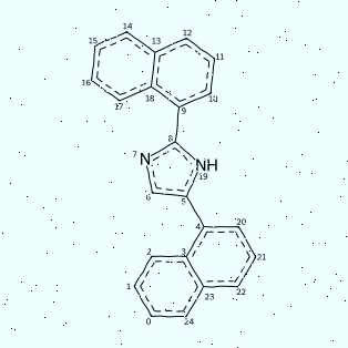 c1ccc2c(-c3cnc(-c4cccc5ccccc45)[nH]3)cccc2c1